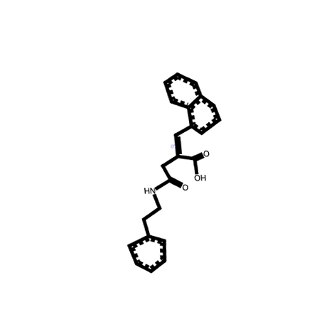 O=C(C/C(=C/c1cccc2ccccc12)C(=O)O)NCCc1ccccc1